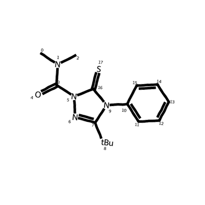 CN(C)C(=O)n1nc(C(C)(C)C)n(-c2ccccc2)c1=S